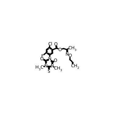 C=CCON=C(C)COC(=O)c1cc(-n2c(=O)n(C)c(=S)n(C)c2=O)c(F)cc1Cl